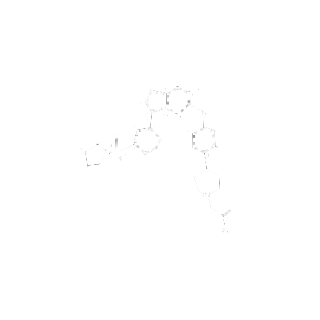 NC(=O)CN1CCC(c2ccc(Nc3ncc4ccc(-c5cccc(S(=O)(=O)N6CCCC6)c5)n4n3)cc2)CC1